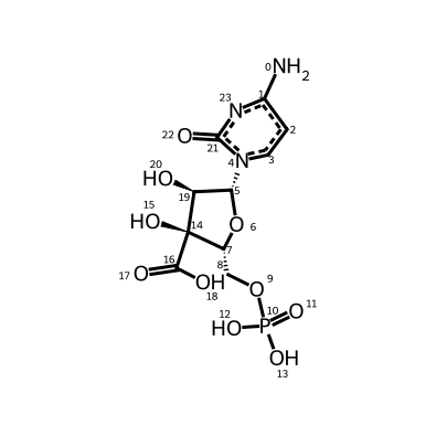 Nc1ccn([C@@H]2O[C@H](COP(=O)(O)O)[C@](O)(C(=O)O)[C@H]2O)c(=O)n1